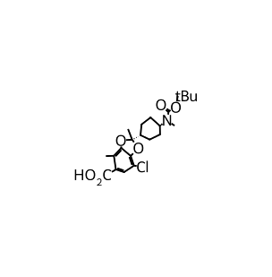 Cc1c(C(=O)O)cc(Cl)c2c1OC(C)([C@H]1CC[C@H](N(C)C(=O)OC(C)(C)C)CC1)O2